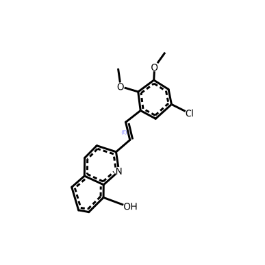 COc1cc(Cl)cc(/C=C/c2ccc3cccc(O)c3n2)c1OC